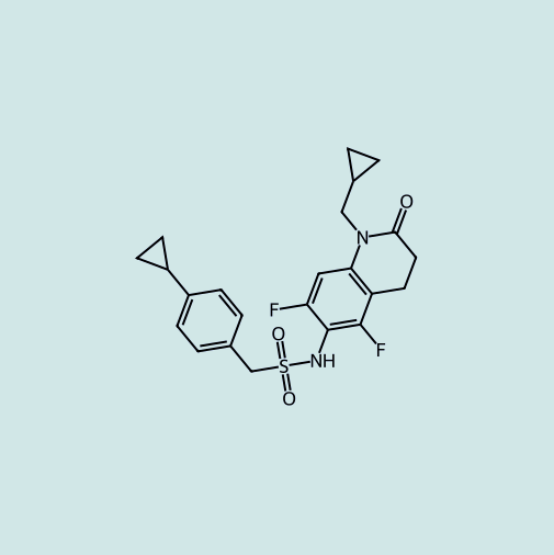 O=C1CCc2c(cc(F)c(NS(=O)(=O)Cc3ccc(C4CC4)cc3)c2F)N1CC1CC1